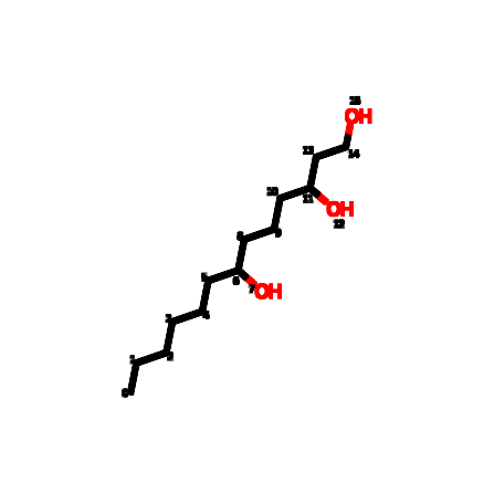 CCCCCCC(O)CCCC(O)CCO